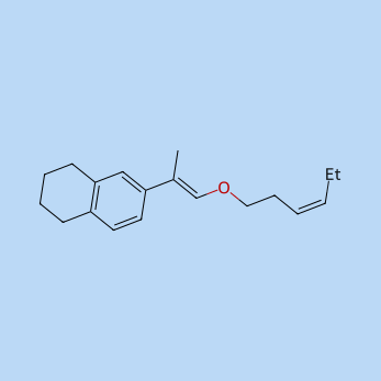 CC/C=C\CCO/C=C(\C)c1ccc2c(c1)CCCC2